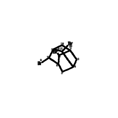 BrC1C2CC3CC1C(Br)C(C2)C3Br